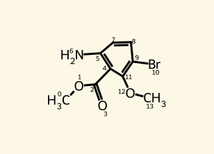 COC(=O)c1c(N)ccc(Br)c1OC